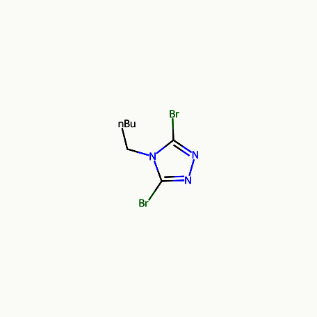 CCCCCn1c(Br)nnc1Br